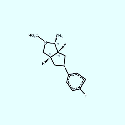 C[C@H]1[C@@H]2CN(c3ccc(F)cc3)C[C@@H]2CN1C(=O)O